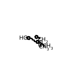 C=Cc1ccccc1.CCCC(OC)Oc1ccc(C=CC=Cc2ccc(O)cc2)cc1